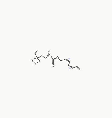 C=C/C=C\C=C/COC(=O)NCCC1(CC)COC1